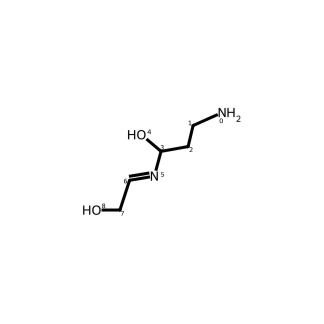 NCCC(O)N=CCO